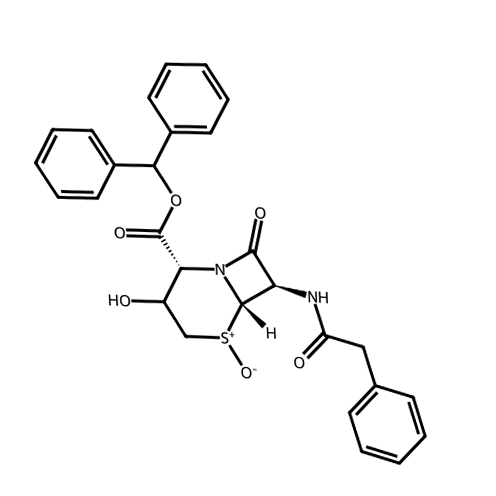 O=C(Cc1ccccc1)N[C@@H]1C(=O)N2[C@@H](C(=O)OC(c3ccccc3)c3ccccc3)C(O)C[S+]([O-])[C@@H]12